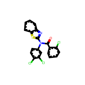 O=C(c1ccccc1Cl)N(c1ccc(Cl)c(Cl)c1)c1nc2ccccc2s1